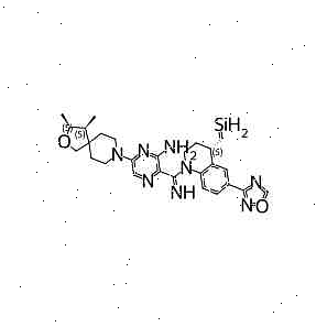 C[C@@H]1OCC2(CCN(c3cnc(C(=N)N4CC[C@H](C=[SiH2])c5cc(-c6ncon6)ccc54)c(N)n3)CC2)[C@@H]1C